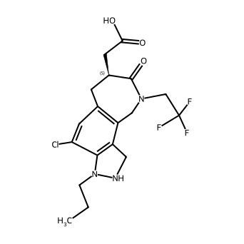 CCCN1NCc2c3c(cc(Cl)c21)C[C@@H](CC(=O)O)C(=O)N(CC(F)(F)F)C3